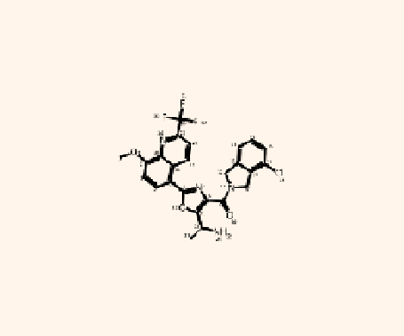 COc1ccc(-c2nc(C(=O)N3Cc4cccc(Cl)c4C3)c([C@H](C)N)o2)c2ccc(C(F)(F)F)nc12